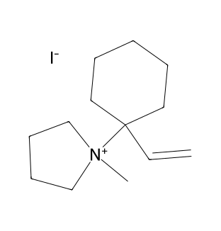 C=CC1([N+]2(C)CCCC2)CCCCC1.[I-]